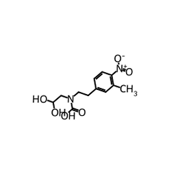 Cc1cc(CCN(CC(O)O)C(=O)O)ccc1[N+](=O)[O-]